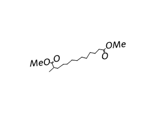 COC(=O)CCCCCCCCCCC(C)C(=O)OC